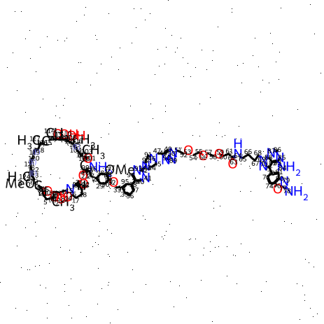 CO[C@H]1C[C@@H]2CC[C@@H](C)[C@@](O)(O2)C(=O)C(=O)N2CCCC[C@H]2C(=O)OC([C@H](N)C[C@@H]2CC[C@@H](OCc3cccc(-c4cnc(N5CCN(Cc6cn(CCOCCOCCOCCC(=O)NCCCCn7nc(-c8ccc9oc(N)nc9c8)c8c(N)ncnc87)nn6)CC5)nc4)c3)[C@H](OC)C2)CC(=O)[C@H](C)/C=C(\C)[C@@H](O)[C@@H](O)C(=O)[C@H](C)C[C@H](C)/C=C/C=C/C=C/1C